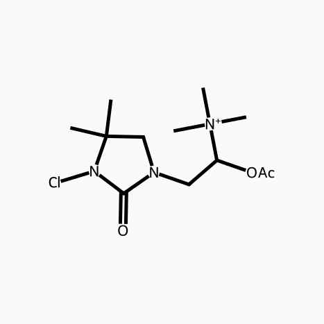 CC(=O)OC(CN1CC(C)(C)N(Cl)C1=O)[N+](C)(C)C